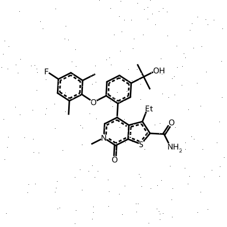 CCc1c(C(N)=O)sc2c(=O)n(C)cc(-c3cc(C(C)(C)O)ccc3Oc3c(C)cc(F)cc3C)c12